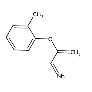 C=C(C=N)Oc1ccccc1C